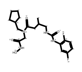 CC(CNC(=O)Nc1cc(F)ccc1F)CC(=O)N(CC(=O)NO)CC1CCCC1